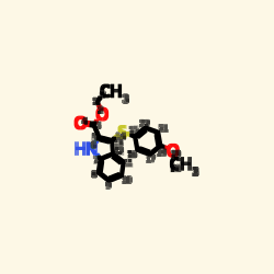 CCOC(=O)c1[nH]c2ccccc2c1Sc1ccc(OC)cc1